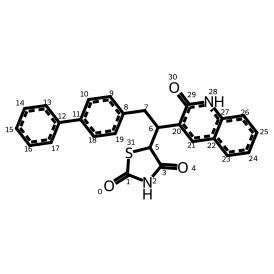 O=C1NC(=O)C(C(Cc2ccc(-c3ccccc3)cc2)c2cc3ccccc3[nH]c2=O)S1